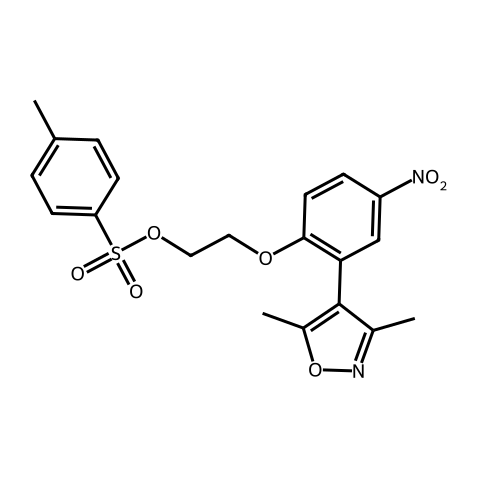 Cc1ccc(S(=O)(=O)OCCOc2ccc([N+](=O)[O-])cc2-c2c(C)noc2C)cc1